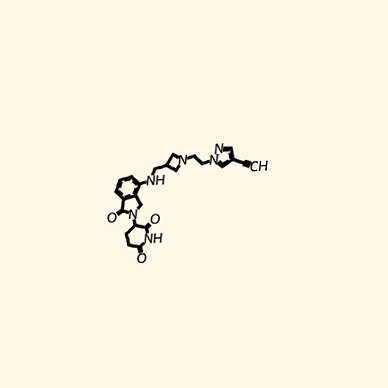 C#Cc1cnn(CCN2CC(CNc3cccc4c3CN(C3CCC(=O)NC3=O)C4=O)C2)c1